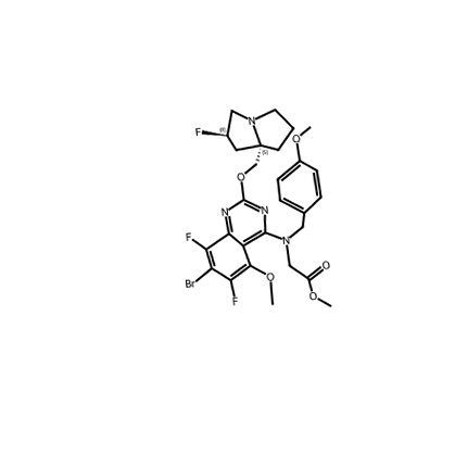 COC(=O)CN(Cc1ccc(OC)cc1)c1nc(OC[C@@]23CCCN2C[C@H](F)C3)nc2c(F)c(Br)c(F)c(OC)c12